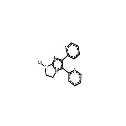 [O-][S+]1CCn2c1nc(-c1ccccn1)c2-c1ccccn1